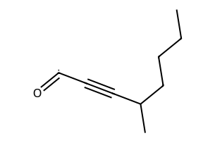 CCCCC(C)C#C[C]=O